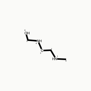 CNCONCO